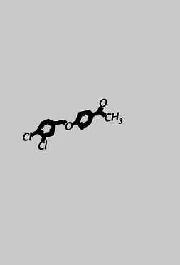 CC(=O)c1ccc(OCc2ccc(Cl)c(Cl)c2)cc1